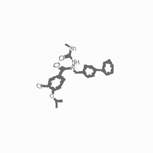 CNC(=O)NN(Cc1ccc(-c2ccccc2)cc1)C(=O)c1ccc(OC(C)C)c(Cl)c1